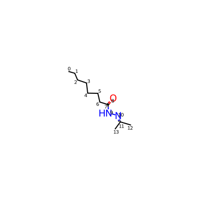 CCCCCCCC(=O)NN=C(C)C